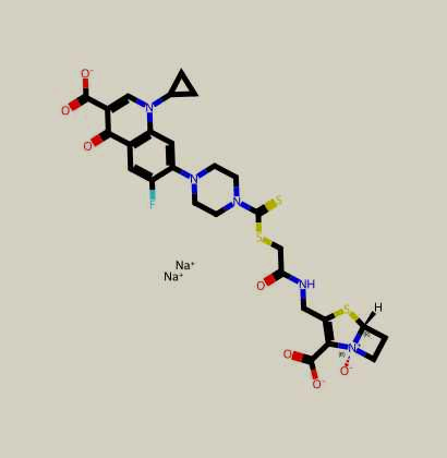 O=C(CSC(=S)N1CCN(c2cc3c(cc2F)c(=O)c(C(=O)[O-])cn3C2CC2)CC1)NCC1=C(C(=O)[O-])[N@+]2([O-])CC[C@H]2S1.[Na+].[Na+]